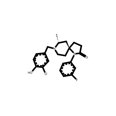 C[C@@H]1C[C@]2(CCC(=O)N2c2cccc(F)c2)CCN1Cc1ccc(O)c(Cl)c1